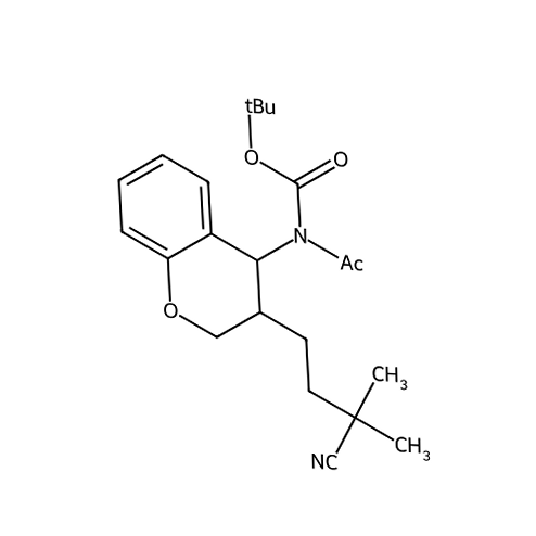 CC(=O)N(C(=O)OC(C)(C)C)C1c2ccccc2OCC1CCC(C)(C)C#N